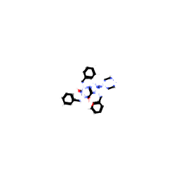 O=c1c2c(nc(N3CCNCC3)n2Cc2ccccc2)n(Cc2ccccc2)c(=O)n1Cc1ccccc1